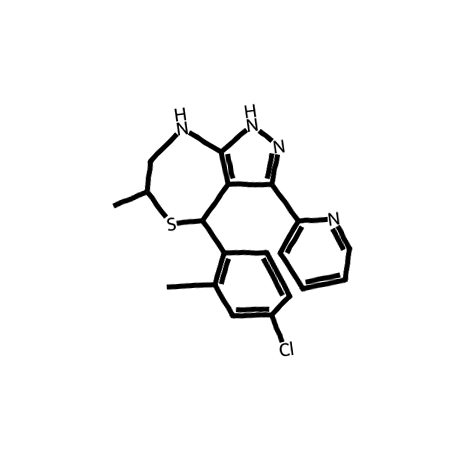 Cc1cc(Cl)ccc1C1SC(C)CNc2[nH]nc(-c3ccccn3)c21